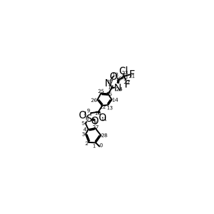 Cc1ccc(CS(=O)(=O)CC(=O)c2ccc(-c3noc(C(F)(F)Cl)n3)cc2)cc1